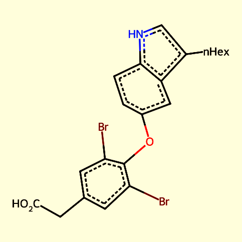 CCCCCCc1c[nH]c2ccc(Oc3c(Br)cc(CC(=O)O)cc3Br)cc12